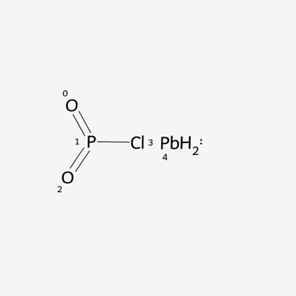 O=P(=O)Cl.[PbH2]